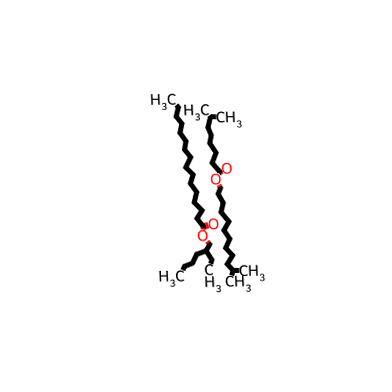 CC(C)CCCCCCCCCCOC(=O)CCCCCC(C)C.CCCCCCCCCCCCCCCC(=O)OCC(CC)CCCC